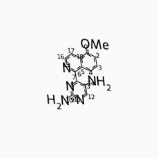 COc1cccc2c(-c3nc(N)ncc3N)nccc12